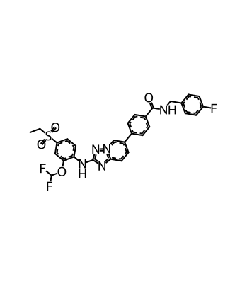 CCS(=O)(=O)c1ccc(Nc2nc3ccc(-c4ccc(C(=O)NCc5ccc(F)cc5)cc4)cn3n2)c(OC(F)F)c1